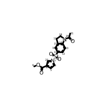 COC(=O)c1ccn(S(=O)(=O)c2ccc3c(c2)CCN3C(C)=O)c1